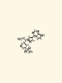 CC(C)S(=O)(=O)c1cncc(C(CC#N)n2cc(-c3ncnc4[nH]ccc34)cn2)c1